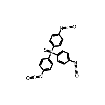 O=C=Nc1ccc(P(=S)(c2ccc(N=C=O)cc2)c2ccc(N=C=O)cc2)cc1